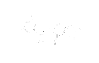 CO[C@@]1(/N=C/c2cc(C)c(O)c(C)c2)C(=O)N2C(C(=O)O)=C(COC(C)=O)CS[C@@H]21